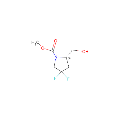 COC(=O)N1CC(F)(F)C[C@H]1CO